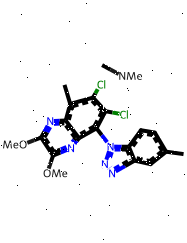 CNC.COc1nc2c(C)c(Cl)c(Cl)c(-n3nnc4cc(C)ccc43)c2nc1OC